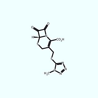 Cn1nnnc1SCC1=C(C(=O)O)N2C(=O)C(=O)[C@H]2SC1